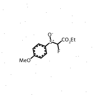 CCOC(=O)C(F)[S+]([O-])c1ccc(OC)cc1